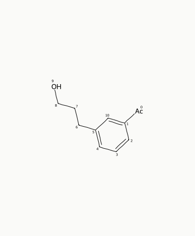 CC(=O)c1cccc(CCCO)c1